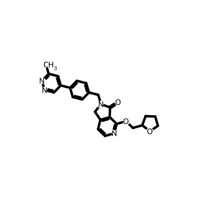 Cc1cc(-c2ccc(CN3Cc4ccnc(OCC5CCCO5)c4C3=O)cc2)cnn1